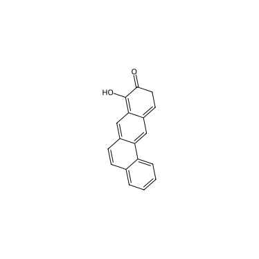 O=C1CC=c2cc3c(ccc4ccccc43)cc2=C1O